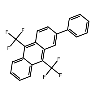 FC(F)(F)c1c2ccccc2c(C(F)(F)F)c2cc(-c3ccccc3)ccc12